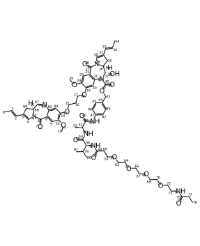 C/C=C/C1=CN2C(=O)c3cc(OC)c(OCCCOc4cc5c(cc4OC)C(=O)N4C=C(/C=C/C)C[C@H]4[C@H](O)N5C(=O)OCc4ccc(NC(=O)[C@H](C)NC(=O)[C@@H](NC(=O)CCOCCOCCOCCOCCNC(=O)CC)C(C)C)cc4)cc3N=C[C@@H]2C1